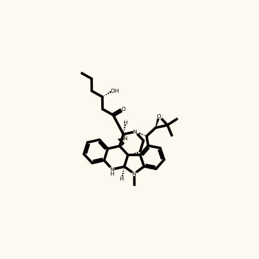 CCC[C@H](O)CC(=O)N1CC[C@@]23c4ccccc4N[C@@H]4N(C)c5cccc6c5[C@@]42CCN([C@@H]13)[C@@H]6[C@H]1OC1(C)C